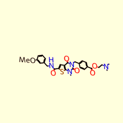 COc1cccc(CNC(=O)c2cc3c(=O)n(Cc4ccc(C(=O)OCCN(C)C)cc4)c(=O)n(C)c3s2)c1